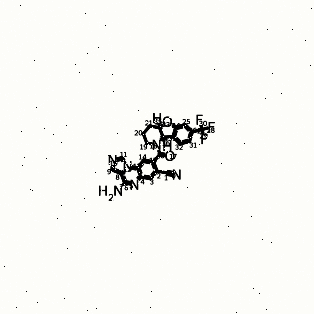 N#Cc1cc2nc(N)c3cncn3c2cc1C(=O)N1CCC[C@@H]2Oc3cc(C(F)(F)F)ccc3[C@@H]21